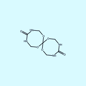 O=C1NCOC2(OCN1)OCNC(=O)NCO2